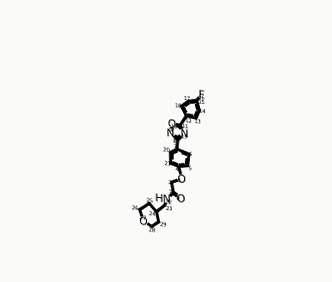 O=C(COc1ccc(-c2noc(-c3ccc(F)cc3)n2)cc1)NCC1CCOCC1